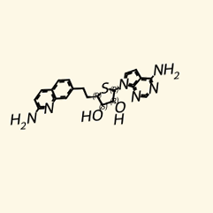 Nc1ccc2ccc(CC[C@H]3S[C@@H](n4ccc5c(N)ncnc54)[C@H](O)[C@@H]3O)cc2n1